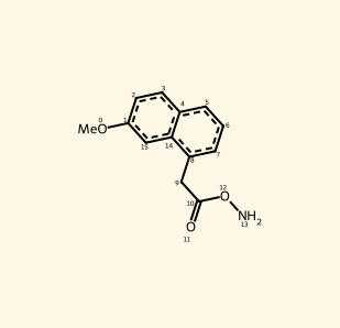 COc1ccc2cccc(CC(=O)ON)c2c1